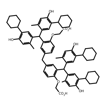 Cc1cc(O)c(C2CCCCC2)cc1C(c1cc(C2CCCCC2)c(O)cc1C)c1cc(Cc2ccc(OCC(=O)O)c(C(c3cc(C4CCCCC4)c(O)cc3C)c3cc(C4CCCCC4)c(O)cc3C)c2)ccc1OCC(=O)O